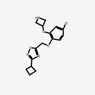 Clc1ccc(OCc2nc(C3CCC3)no2)c(OC2CNC2)c1